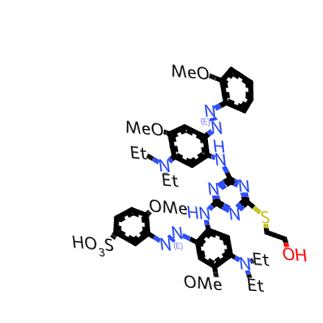 CCN(CC)c1cc(Nc2nc(Nc3cc(N(CC)CC)c(OC)cc3/N=N/c3cc(S(=O)(=O)O)ccc3OC)nc(SCCO)n2)c(/N=N/c2ccccc2OC)cc1OC